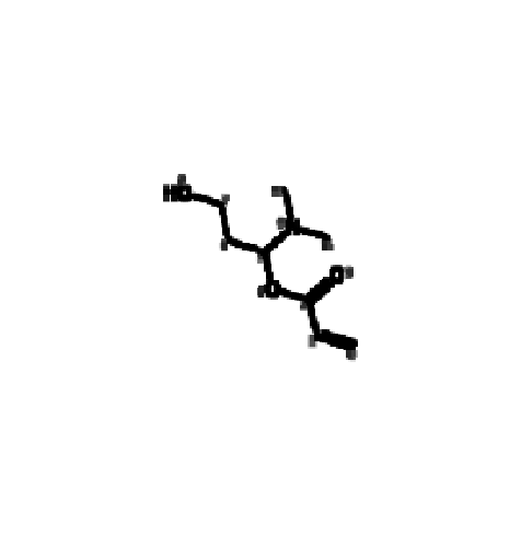 C=CC(=O)OC(CCO)N(C)C